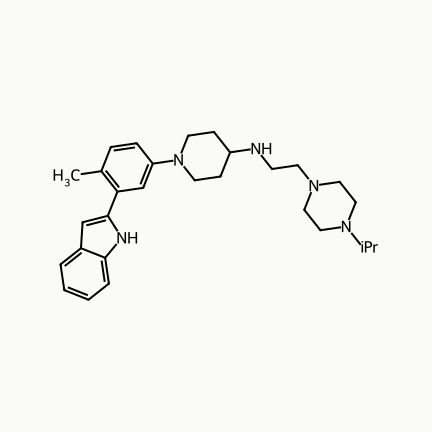 Cc1ccc(N2CCC(NCCN3CCN(C(C)C)CC3)CC2)cc1-c1cc2ccccc2[nH]1